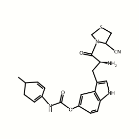 CC1C=CC(NC(=O)Oc2ccc3[nH]cc(C[C@H](N)C(=O)N4CSCC4C#N)c3c2)=CC1